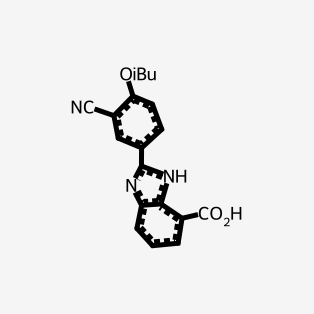 CC(C)COc1ccc(-c2nc3cccc(C(=O)O)c3[nH]2)cc1C#N